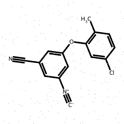 [C-]#[N+]c1cc(C#N)cc(Oc2cc(Cl)ccc2C)c1